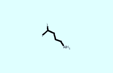 [AlH2][CH2]CCC(I)I